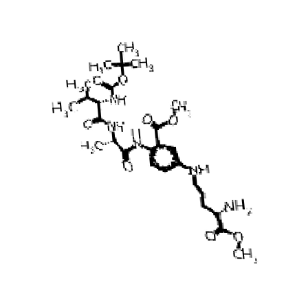 COC(=O)c1cc(NCCC[C@H](N)C(=O)OC)ccc1NC(=O)[C@H](C)NC(=O)[C@@H](NC(=O)OC(C)(C)C)C(C)C